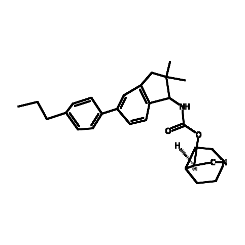 CCCc1ccc(-c2ccc3c(c2)CC(C)(C)C3NC(=O)O[C@H]2CN3CCC2CC3)cc1